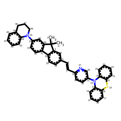 CC1(C)c2cc(/C=C/c3ccc(N4c5ccccc5Sc5ccccc54)cn3)ccc2-c2ccc(N3CCCc4ccccc43)cc21